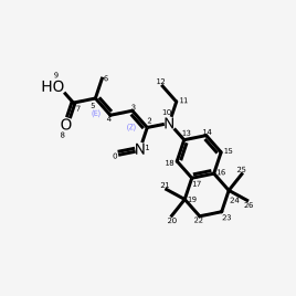 C=N/C(=C\C=C(/C)C(=O)O)N(CC)c1ccc2c(c1)C(C)(C)CCC2(C)C